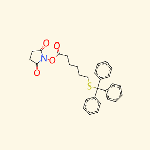 O=C(CCCCCSC(c1ccccc1)(c1ccccc1)c1ccccc1)ON1C(=O)CCC1=O